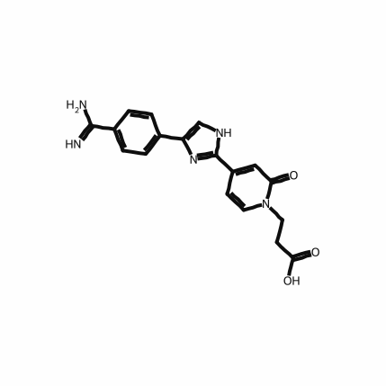 N=C(N)c1ccc(-c2c[nH]c(-c3ccn(CCC(=O)O)c(=O)c3)n2)cc1